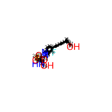 C[C@@](CCn1cc2c(F)c(C#CC#CC3C[C@@H]3CO)ccc2n1)(C(=O)NO)S(C)(=O)=O